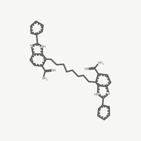 N=C(N)c1ccc2nc(-c3ccccc3)[nH]c2c1CCCCCCCCc1c(C(=N)N)ccc2nc(-c3ccccc3)[nH]c12